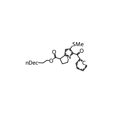 CCCCCCCCCCCCOC(=O)C1CCn2c1cc(SC)c2C(=O)c1ccccc1